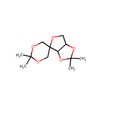 CC1(C)OCC2(CO1)OCC1OC(C)(C)OC12